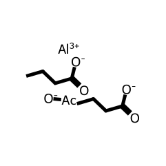 CC(=O)[O-].CCCC(=O)[O-].CCCC(=O)[O-].[Al+3]